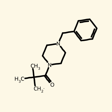 [CH2]C(C)(C)C(=O)N1CCN(Cc2ccccc2)CC1